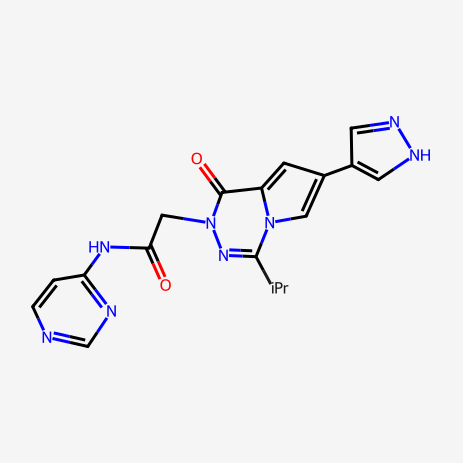 CC(C)c1nn(CC(=O)Nc2ccncn2)c(=O)c2cc(-c3cn[nH]c3)cn12